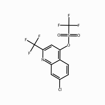 O=S(=O)(Oc1cc(C(F)(F)F)nc2cc(Cl)ccc12)C(F)(F)F